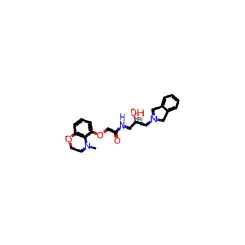 CN1CCOc2cccc(OCC(=O)NC[C@@H](O)CN3Cc4ccccc4C3)c21